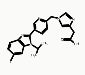 CC(C)n1c(-c2ccc(Cn3cnc(CC(=O)O)c3)nc2)nc2ccc(I)cc21